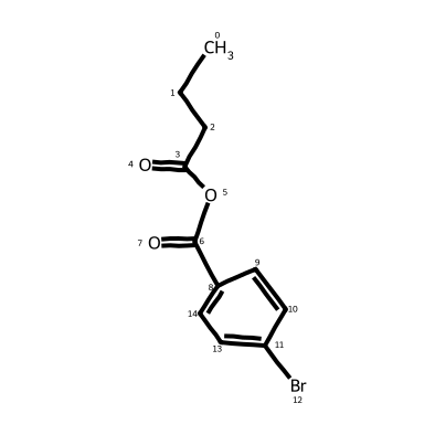 CCCC(=O)OC(=O)c1ccc(Br)cc1